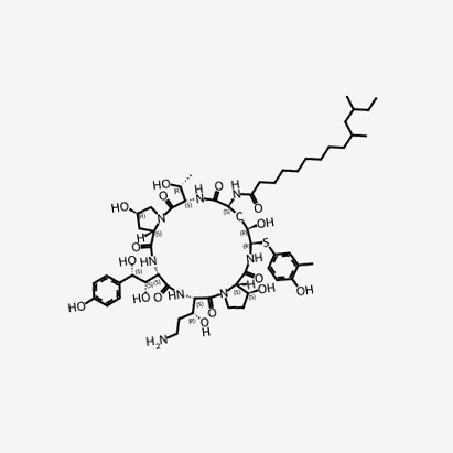 CCC(C)CC(C)CCCCCCCCC(=O)N[C@H]1C[C@@H](O)[C@@H](Sc2ccc(O)c(C)c2)NC(=O)[C@@H]2[C@@H](O)CCN2C(=O)[C@H]([C@H](O)CCN)NC(=O)[C@H]([C@H](O)[C@@H](O)c2ccc(O)cc2)NC(=O)[C@@H]2C[C@@H](O)CN2C(=O)[C@H]([C@@H](C)O)NC1=O